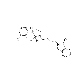 COc1cccc2c1CC[C@@H]1[C@H]2CCN1CCCCN1Cc2ccccc2C1=O